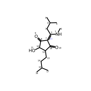 CN/C(CC(C)C)=C1/C(=O)C(O)C(CCC(C)C)C1=O